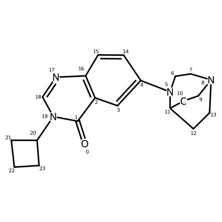 O=c1c2cc(N3CCN4CCC3CC4)ccc2ncn1C1CCC1